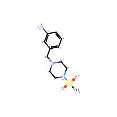 CS(=O)(=O)N1CCN(Cc2cccc(N)c2)CC1